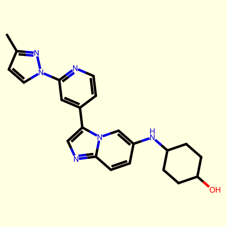 Cc1ccn(-c2cc(-c3cnc4ccc(NC5CCC(O)CC5)cn34)ccn2)n1